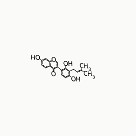 CC(C)=CCc1c(O)ccc(-c2coc3cc(O)ccc3c2=O)c1O